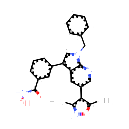 Cc1noc(C)c1-c1cnc2c(c1)c(-c1cccc(C(=O)NO)c1)cn2Cc1ccccc1